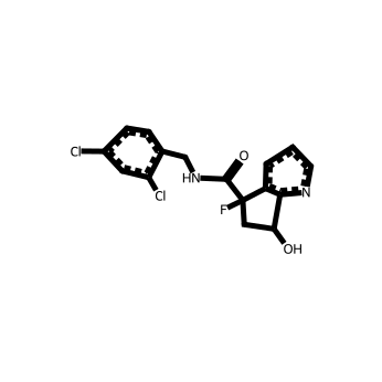 O=C(NCc1ccc(Cl)cc1Cl)C1(F)CC(O)c2ncccc21